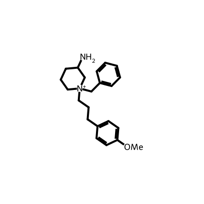 COc1ccc(CCC[N+]2(Cc3ccccc3)CCCC(N)C2)cc1